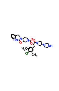 Cc1cc(CC(OC(=O)N2CCC(N3CCc4ccccc4NC3=O)CC2)C(=O)N2CCC(N3CCNCC3)CC2)cc(C)c1Cl